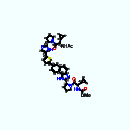 COC(=O)N[C@H](C(=O)N1CCC[C@H]1c1nc2ccc3cc(-c4ccc(-c5cnc([C@@H]6CCCN6C(=O)[C@@H](NC(C)=O)C6CC6)[nH]5)s4)ccc3c2[nH]1)C1CC1